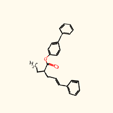 CCC(CC=Cc1ccccc1)C(=O)Oc1ccc(-c2ccccc2)cc1